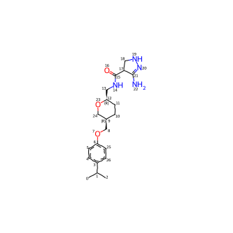 CC(C)c1ccc(OC[C@@H]2CC[C@H](CNC(=O)C3CNN=C3N)OC2)cc1